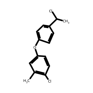 Cc1cc(Oc2ccc(C(C)Cl)cc2)ccc1Cl